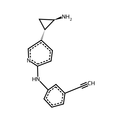 C#Cc1cccc(Nc2ccc([C@@H]3C[C@H]3N)cn2)c1